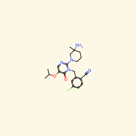 CC(C)Oc1cnc(N2CCCC(C)(N)C2)n(Cc2cc(F)ccc2C#N)c1=O